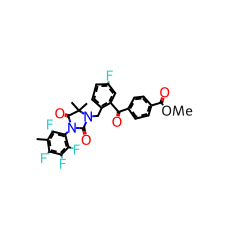 COC(=O)c1ccc(C(=O)c2cc(F)ccc2CN2C(=O)N(c3c(F)c(C)c(F)c(F)c3F)C(=O)C2(C)C)cc1